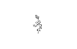 Cn1c2cc(Oc3cccc(F)n3)ccc2c2cnn(CCN3CCOCC3)c(=O)c21